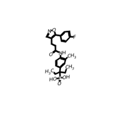 CCC(CC)(c1ccc(NC(=O)CCc2cnoc2-c2ccc(F)cc2)c(C)c1)P(=O)(O)O